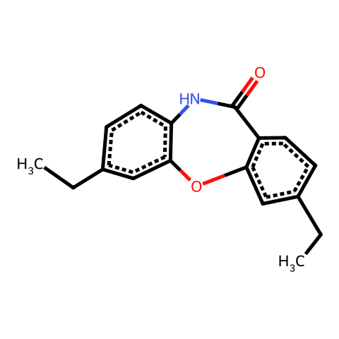 CCc1ccc2c(c1)Oc1cc(CC)ccc1C(=O)N2